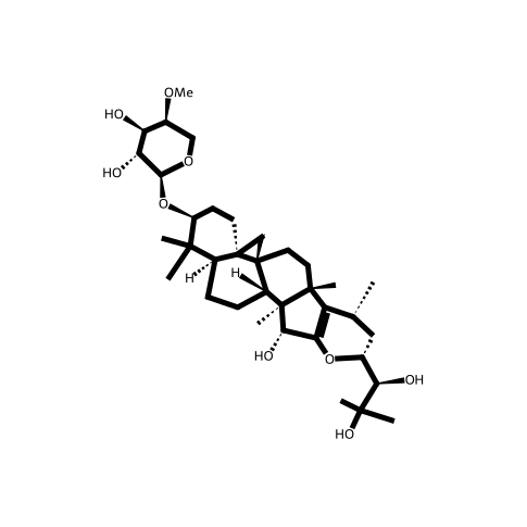 CO[C@H]1CO[C@@H](O[C@H]2CC[C@]34C[C@]35CC[C@]3(C)C6=C(O[C@@H]([C@@H](O)C(C)(C)O)C[C@H]6C)[C@H](O)[C@@]3(C)[C@@H]5CC[C@H]4C2(C)C)[C@H](O)[C@H]1O